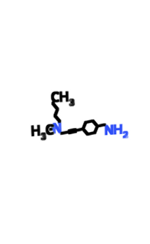 CCCCCN(C)CC#CC1CCC(CN)CC1